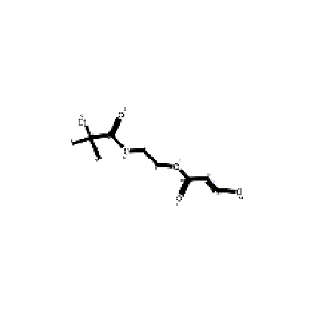 CCC(C)(C)C(=O)OCCOC(=O)/C=C/Cl